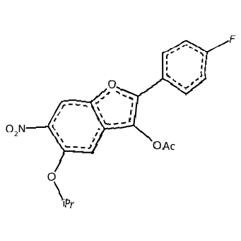 CC(=O)Oc1c(-c2ccc(F)cc2)oc2cc([N+](=O)[O-])c(OC(C)C)cc12